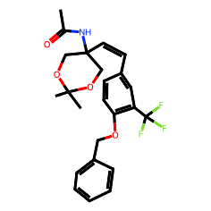 CC(=O)NC1(/C=C\c2ccc(OCc3ccccc3)c(C(F)(F)F)c2)COC(C)(C)OC1